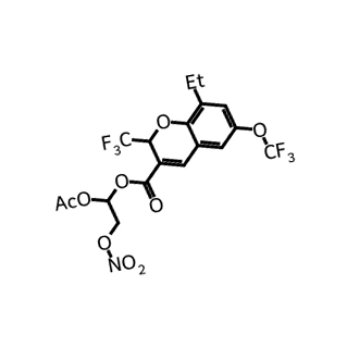 CCc1cc(OC(F)(F)F)cc2c1OC(C(F)(F)F)C(C(=O)OC(CO[N+](=O)[O-])OC(C)=O)=C2